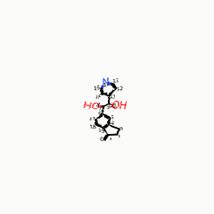 C=C1CCc2cc(C(O)C(O)c3ccncc3)ccc21